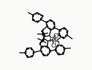 Cc1ccc(-c2ccc(-c3ccc(C)cc3)c3c2C=C(C(C)(C)C)[CH]3[Zr]([Cl])([Cl])([CH]2C(C(C)(C)C)=Cc3c(-c4ccc(C)cc4)ccc(-c4ccc(C)cc4)c32)[SiH](C)C)cc1